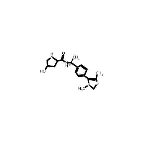 CC1=C(c2ccc([C@H](C)NC(=O)C3CC(O)CN3)cc2)N(C)CS1